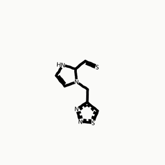 S=CC1NC=CN1Cc1csnn1